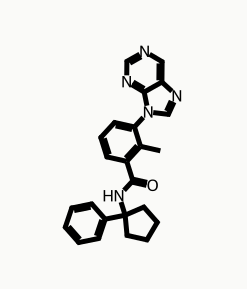 Cc1c(C(=O)NC2(c3ccccc3)CCCC2)cccc1-n1cnc2cncnc21